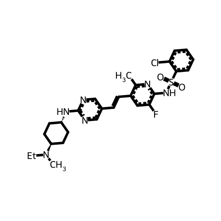 CCN(C)[C@H]1CC[C@H](Nc2ncc(/C=C/c3cc(F)c(NS(=O)(=O)c4ccccc4Cl)nc3C)cn2)CC1